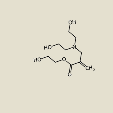 C=C(CN(CCO)CCO)C(=O)OCCO